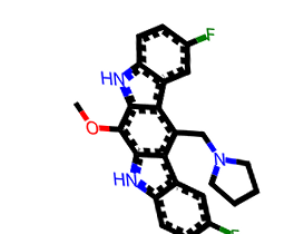 COc1c2[nH]c3ccc(F)cc3c2c(CN2CCCC2)c2c1[nH]c1ccc(F)cc12